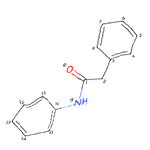 O=C(Cc1ccccc1)Nc1[c]cccc1